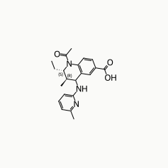 CC[C@H]1[C@H](C)C(Nc2cccc(C)n2)c2cc(C(=O)O)ccc2N1C(C)=O